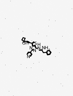 N[C@H](CNc1nc(-c2ccncc2)nc2c(C#CC3(O)CCC3)csc12)Cc1ccccc1